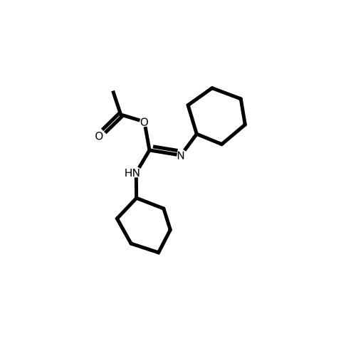 CC(=O)OC(=NC1CCCCC1)NC1CCCCC1